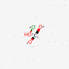 O=C=O.OCl